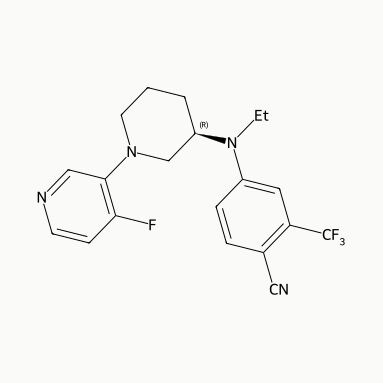 CCN(c1ccc(C#N)c(C(F)(F)F)c1)[C@@H]1CCCN(c2cnccc2F)C1